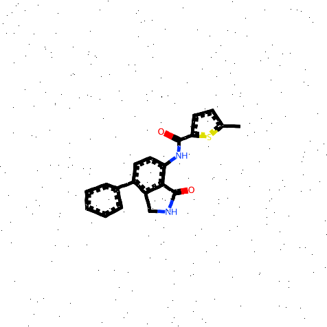 Cc1ccc(C(=O)Nc2ccc(-c3ccccc3)c3c2C(=O)NC3)s1